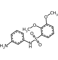 COc1cccc(S(=O)(=O)Nc2cccc(N)c2)c1OC